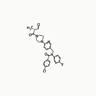 C[C@H](C=O)C(=O)N1CCN(c2ccc(CN(C(=O)c3ccc(Cl)cc3)c3ccc(F)cc3)cn2)CC1